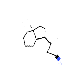 C[C@H](CC#N)[C@H]1CC[C@H]2[C@@H](C)CCC[C@]12C